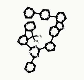 CC1(C)c2ccccc2-c2cccc(-c3nc(-c4ccccc4)nc(-c4cccc(-c5ccc6c(c5)oc5cccc(-c7ccc(-c8ccccc8)cc7)c56)c4)n3)c21